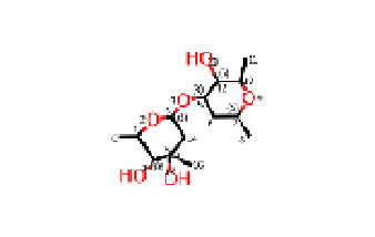 CC1O[C@@H](O[C@@H]2C[C@H](C)OC(C)[C@@H]2O)C[C@](C)(O)[C@@H]1O